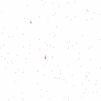 CC(C)C(=O)O[C@@H]1[C@@H](CC2CCCC2)CCC[C@H](N)C(=O)O[C@H]1C